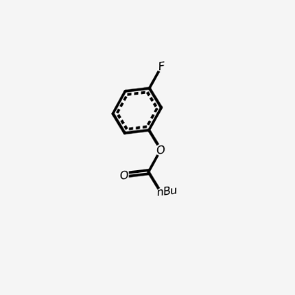 CCCCC(=O)Oc1cccc(F)c1